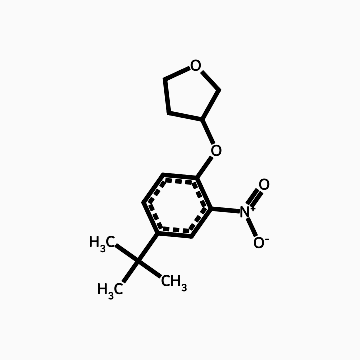 CC(C)(C)c1ccc(OC2CCOC2)c([N+](=O)[O-])c1